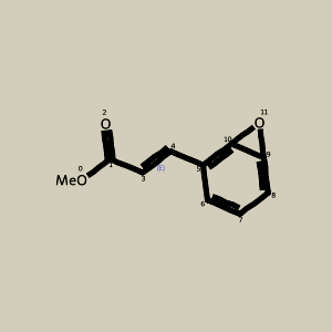 COC(=O)/C=C/c1cccc2c1O2